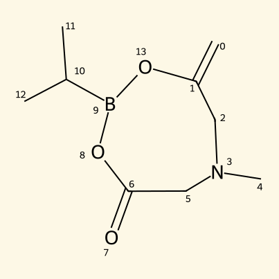 C=C1CN(C)CC(=O)OB(C(C)C)O1